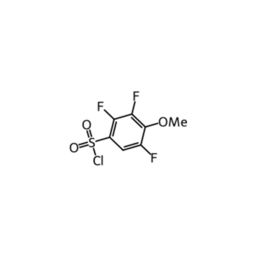 COc1c(F)cc(S(=O)(=O)Cl)c(F)c1F